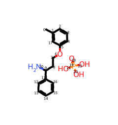 Cc1cccc(OCCC(N)c2ccccc2)c1.O=P(O)(O)O